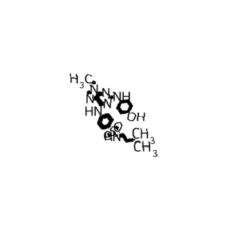 CCn1cnc2c(Nc3ccc(S(=O)(=O)NCCC(C)C)cc3)nc(N[C@H]3CC[C@H](O)CC3)nc21